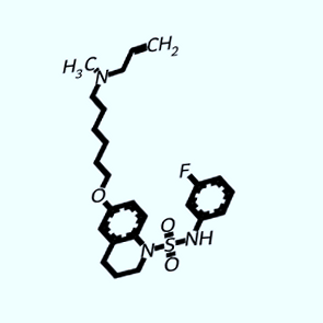 C=CCN(C)CCCCCCOc1ccc2c(c1)CCCN2S(=O)(=O)Nc1cccc(F)c1